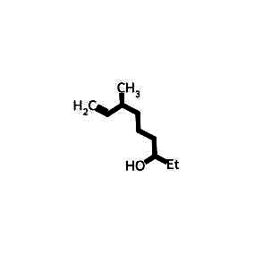 C=CC(C)CCCC(O)CC